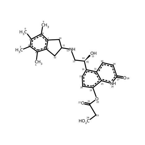 Cc1c(C)c(C)c2c(c1C)CC(NC[C@@H](O)c1ccc(OC(=O)CC(=O)O)c3[nH]c(=O)ccc13)C2